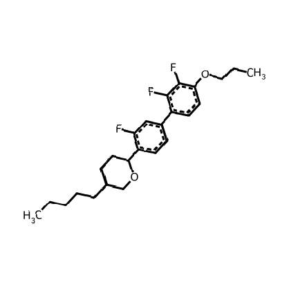 CCCCCC1CCC(c2ccc(-c3ccc(OCCC)c(F)c3F)cc2F)OC1